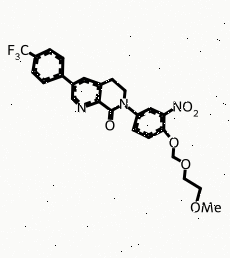 COCCOCOc1ccc(N2CCc3cc(-c4ccc(C(F)(F)F)cc4)cnc3C2=O)cc1[N+](=O)[O-]